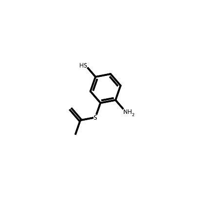 C=C(C)Sc1cc(S)ccc1N